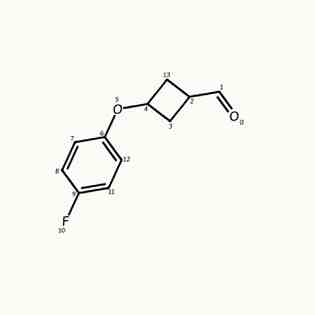 O=CC1CC(Oc2ccc(F)cc2)C1